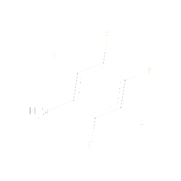 Fc1c(F)c(F)c([SiH2])c(F)c1F